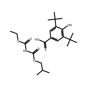 CC(C)(C)c1cc(C(O)=S)cc(C(C)(C)C)c1O.CCOC(=O)NC(=S)OCC(C)C